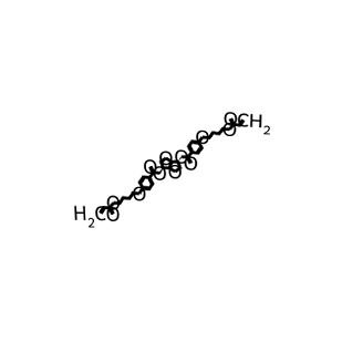 C=CC(=O)OCCCCOc1ccc(C(=O)O[C@H]2COC3C2OC[C@H]3OC(=O)c2ccc(OCCCCOC(=O)C=C)cc2)cc1